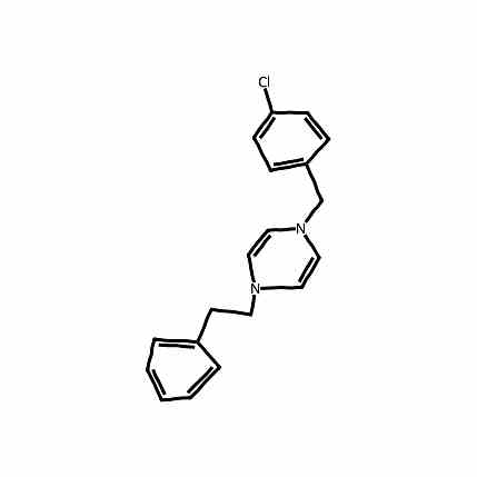 Clc1ccc(CN2C=CN(CCc3ccccc3)C=C2)cc1